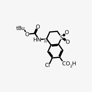 CC(C)(C)OC(=O)N[C@H]1CCS(=O)(=O)c2cc(C(=O)O)c(Cl)cc21